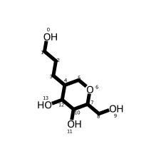 OCCCC1COC(CO)C(O)C1O